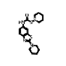 O=C(Nc1ccc2nc(N3CCCCC3)sc2c1)SN1CCCCC1